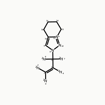 [2H]C([2H])=C([2H])C([2H])([2H])n1cc2[n+](n1)CCCC2